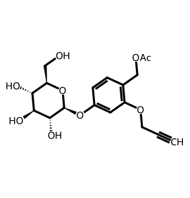 C#CCOc1cc(O[C@@H]2O[C@H](CO)[C@@H](O)[C@H](O)[C@H]2O)ccc1COC(C)=O